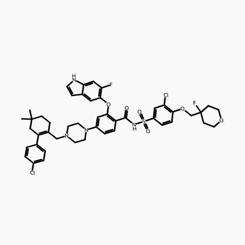 CC1(C)CCC(CN2CCN(c3ccc(C(=O)NS(=O)(=O)c4ccc(OCC5(F)CCOCC5)c(Cl)c4)c(Oc4cc5cc[nH]c5cc4F)c3)CC2)=C(c2ccc(Cl)cc2)C1